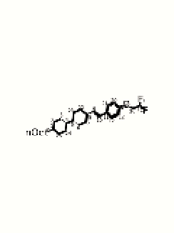 CCCCCCCC[C@H]1CC[C@H]([C@H]2CC[C@H](C=Cc3ccc(OCC(F)F)cc3)CC2)CC1